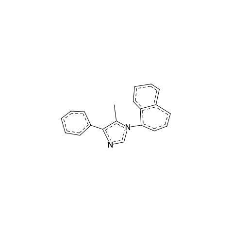 Cc1c(-c2ccccc2)ncn1-c1cccc2ccccc12